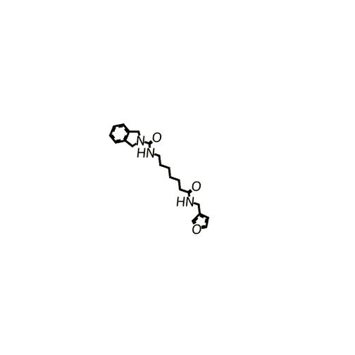 O=C(CCCCCCNC(=O)N1Cc2ccccc2C1)NCc1ccoc1